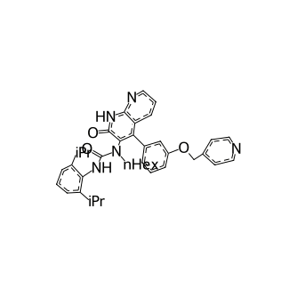 CCCCCCN(C(=O)Nc1c(C(C)C)cccc1C(C)C)c1c(-c2cccc(OCc3ccncc3)c2)c2cccnc2[nH]c1=O